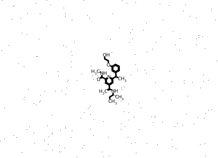 C=C(N[C@H](C)CC)c1cc(C(=O)NC)nc(C(C)c2cccc(OCCO)c2)c1